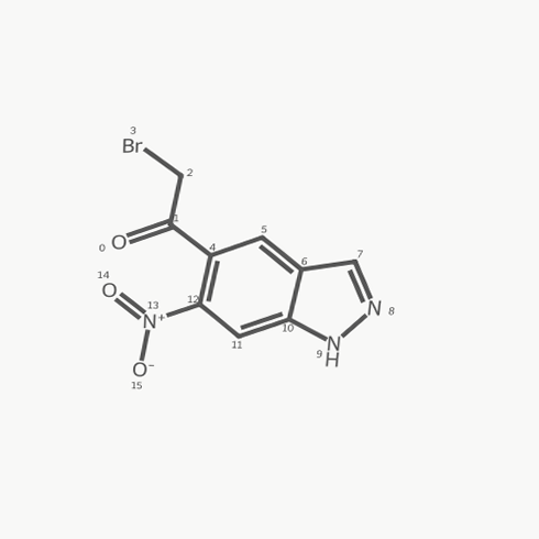 O=C(CBr)c1cc2cn[nH]c2cc1[N+](=O)[O-]